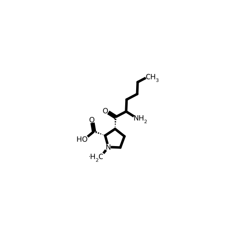 [CH2]N1CC[C@@H](C(=O)C(N)CCCC)[C@H]1C(=O)O